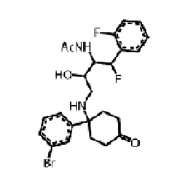 CC(=O)NC(C(O)CNC1(c2cccc(Br)c2)CCC(=O)CC1)C(F)c1ccccc1F